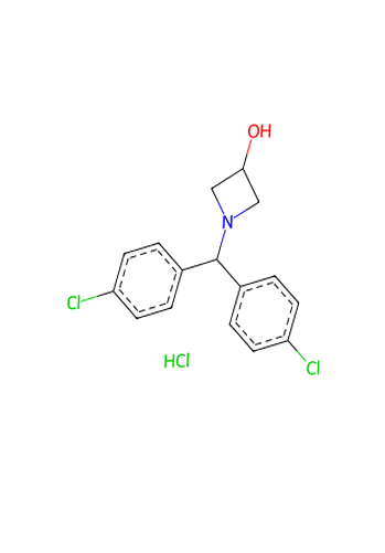 Cl.OC1CN(C(c2ccc(Cl)cc2)c2ccc(Cl)cc2)C1